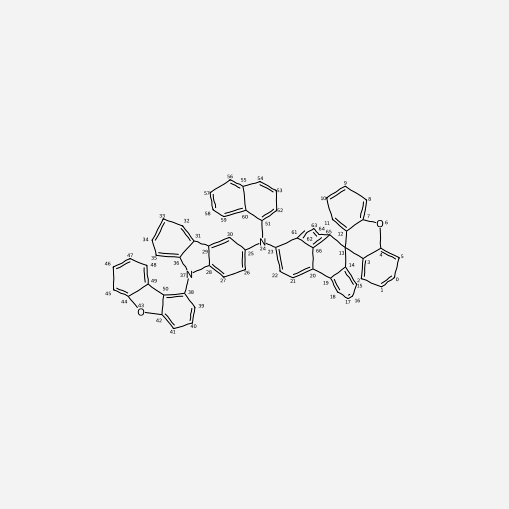 c1ccc2c(c1)Oc1ccccc1C21c2ccccc2-c2ccc(N(c3ccc4c(c3)c3ccccc3n4-c3cccc4oc5ccccc5c34)c3cccc4ccccc34)c3cccc1c23